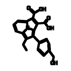 CCc1c(-c2ccc(CO)cc2)c2c(C(=O)O)c(C(=O)O)c3cccc1n32